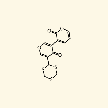 O=c1occcc1-c1[c]occ(C2SCSCS2)c1=O